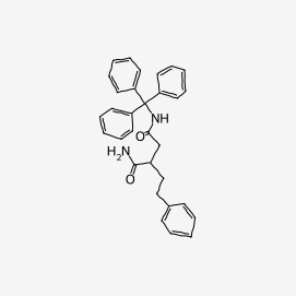 NC(=O)C(CCc1ccccc1)CC(=O)NC(c1ccccc1)(c1ccccc1)c1ccccc1